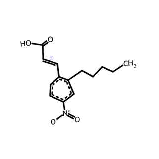 CCCCCc1cc([N+](=O)[O-])ccc1/C=C/C(=O)O